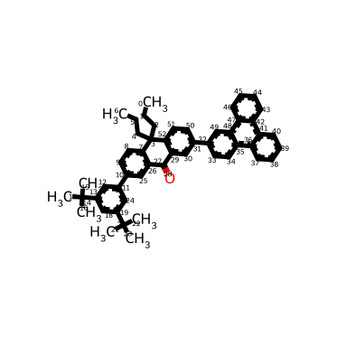 CCCC1(CCC)c2ccc(-c3cc(C(C)(C)C)cc(C(C)(C)C)c3)cc2C(=O)c2cc(-c3ccc4c5ccccc5c5ccccc5c4c3)ccc21